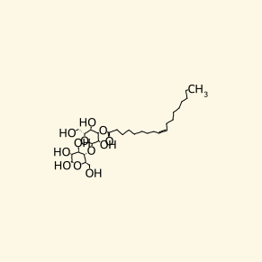 CCCCCCCC/C=C\CCCCCCCC(=O)O[C@@H]1[C@@H](O)[C@@H](O[C@H]2[C@H](O)[C@@H](O)[C@H](O)O[C@@H]2CO)O[C@H](CO)[C@H]1O